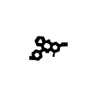 C[C@H]1CC(O)CC2Sc3ccccc3C(N3CCNCC3)=NC21